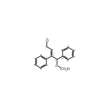 CCOC(=O)OC(/C(=C/CCl)c1ccccc1)c1ccccc1